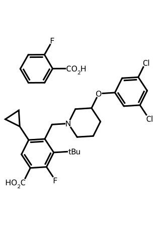 CC(C)(C)c1c(F)c(C(=O)O)cc(C2CC2)c1CN1CCCC(Oc2cc(Cl)cc(Cl)c2)C1.O=C(O)c1ccccc1F